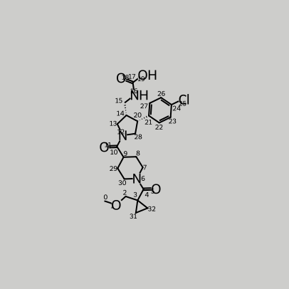 COCC1(C(=O)N2CCC(C(=O)N3C[C@H](CNC(=O)O)[C@H](c4ccc(Cl)cc4)C3)CC2)CC1